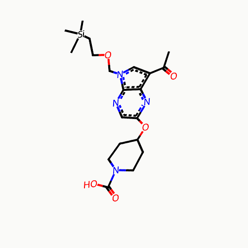 CC(=O)c1cn(COCC[Si](C)(C)C)c2ncc(OC3CCN(C(=O)O)CC3)nc12